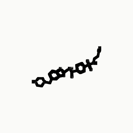 N#CCCNS(=O)(=O)c1ccc(C(=O)Nc2nc3ccc(CN4CCNCC4)cc3s2)cc1